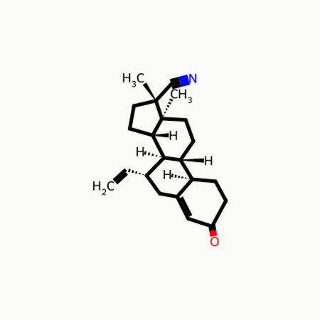 C=C[C@H]1CC2=CC(=O)CC[C@@H]2[C@H]2CC[C@@]3(C)[C@@H](CC[C@]3(C)C#N)[C@@H]21